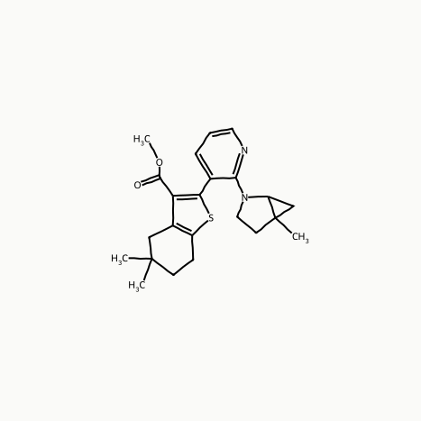 COC(=O)c1c(-c2cccnc2N2CCC3(C)CC23)sc2c1CC(C)(C)CC2